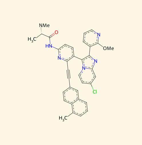 CN[C@@H](C)C(=O)Nc1ccc(-c2c(-c3cccnc3OC)nc3cc(Cl)ccn23)c(C#Cc2ccc3c(C)cccc3c2)n1